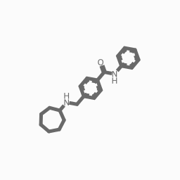 O=C(Nc1ccccc1)c1ccc(CNC2CCCCCC2)cc1